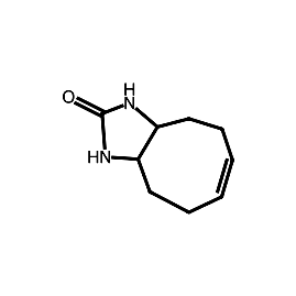 O=C1NC2CCC=CCCC2N1